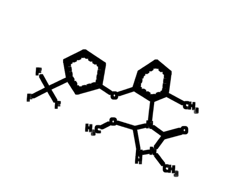 COC1NN(C)C(=O)N1c1c(C)cccc1Oc1cccc(C(F)(F)F)c1